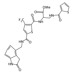 COC(=O)C(CNC(=O)c1cccs1)NC(=O)c1sc(C(=O)NCc2cccc3c2CC(=O)N3)cc1C(F)(F)F